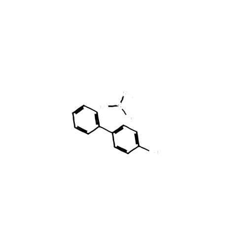 CN(C)N.Oc1ccc(-c2ccccc2)cc1